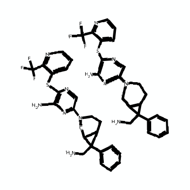 NCC1(c2ccccc2)C2CCN(c3cnc(Sc4cccnc4C(F)(F)F)c(N)n3)CC21.NCC1(c2ccccc2)C2CCN(c3cnc(Sc4cccnc4C(F)(F)F)c(N)n3)CC21